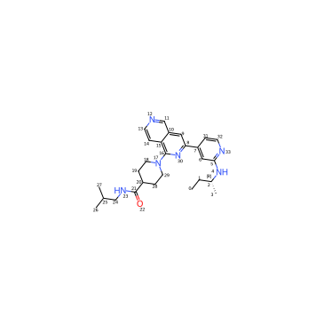 CC[C@@H](C)Nc1cc(-c2cc3cnccc3c(N3CCC(C(=O)NCC(C)C)CC3)n2)ccn1